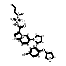 CCCN(C)S(=O)(=O)NC(=O)c1cnc2ccc(N3CCC[C@@H]3c3cc(F)ccc3OC3CCOC3)cn12